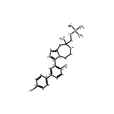 CC1(CO[Si](C)(C)C(C)(C)C)Cc2nnc(-c3cc(-c4ccc(F)cc4)ccc3Cl)n2CCS1